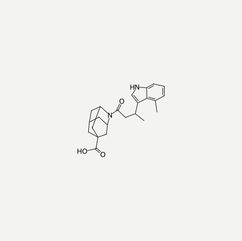 Cc1cccc2[nH]cc(C(C)CC(=O)N3C4CC5CC3CC(C(=O)O)(C5)C4)c12